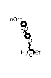 CCCCCCCCc1ccc(OC(=O)c2ccc(OCCCC(C)C[C@H](Cl)CC)cc2)cc1